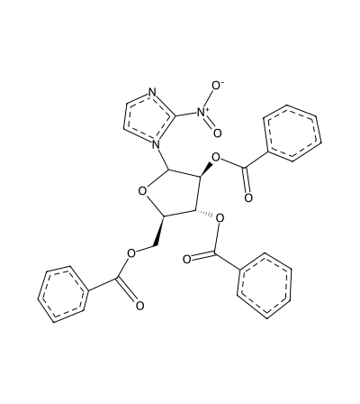 O=C(OC[C@H]1OC(n2ccnc2[N+](=O)[O-])[C@@H](OC(=O)c2ccccc2)[C@@H]1OC(=O)c1ccccc1)c1ccccc1